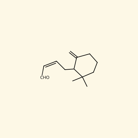 C=C1CCCC(C)(C)C1C/C=C\C=O